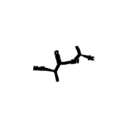 CN[C@H](C)C(=O)N[C@H](C)C(C)=O